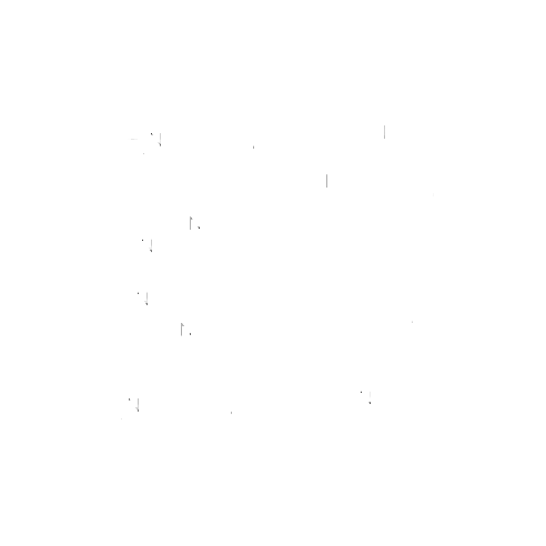 NC(=O)c1cc(N(N)C(N)=O)c(N(N)C(N)=O)cc1CC(F)(F)F